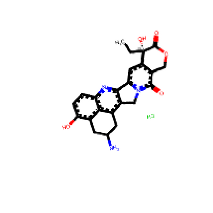 CC[C@@]1(O)C(=O)OCc2c1cc1n(c2=O)Cc2c-1nc1ccc(O)c3c1c2CC(N)C3.Cl